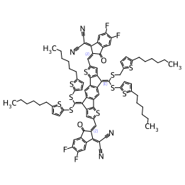 CCCCCCc1ccc(CS/C(Sc2ccc(CCCCCC)s2)=C2/c3cc4c(cc3-c3sc(/C=C5\C(=O)c6cc(F)c(F)cc6C5=C(C#N)C#N)cc32)C(=C(Sc2ccc(CCCCCC)s2)Sc2ccc(CCCCCC)s2)c2cc(/C=C3\C(=O)c5cc(F)c(F)cc5C3=C(C#N)C#N)sc2-4)s1